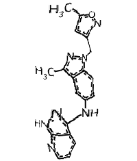 Cc1cc(Cn2nc(C)c3cc(Nc4n[nH]c5ncccc45)ccc32)no1